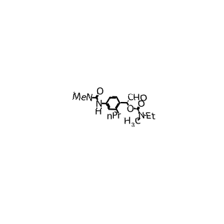 CCCc1cc(NC(=O)NC)ccc1[C@H](C=O)OC(=O)N(C)CC